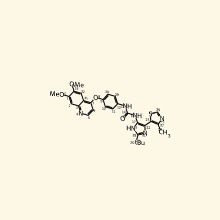 COc1cc2nccc(Oc3ccc(NC(=O)Nc4[nH]c(C(C)(C)C)nc4-c4scnc4C)cc3)c2cc1OC